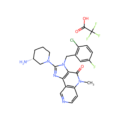 Cn1c(=O)c2c(nc(N3CCC[C@@H](N)C3)n2Cc2cc(F)ccc2Cl)c2cnccc21.O=C(O)C(F)(F)F